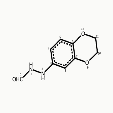 O=CNNc1ccc2c(c1)OCCO2